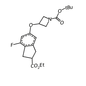 CCOC(=O)C1Cc2cc(OC3CN(C(=O)OC(C)(C)C)C3)cc(F)c2C1